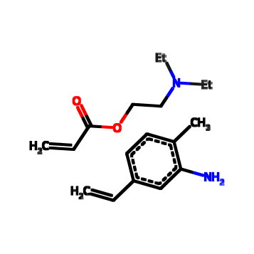 C=CC(=O)OCCN(CC)CC.C=Cc1ccc(C)c(N)c1